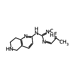 C/N=C(\N=C/C(C)F)Nc1ccc2c(n1)CCNC2